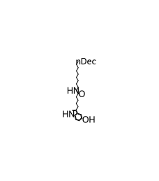 CCCCCCCCCCCCCCCCCCNC(=O)CCCCc1c[nH]c2ccc(O)cc12